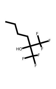 CCCCC(O)(C(F)(F)F)C(F)(F)F